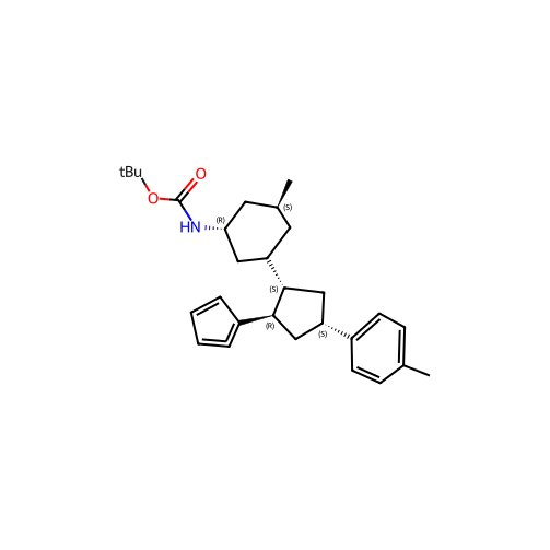 Cc1ccc([C@@H]2C[C@@H](C3=C=CC=C3)[C@H](C3C[C@H](C)C[C@@H](NC(=O)OC(C)(C)C)C3)C2)cc1